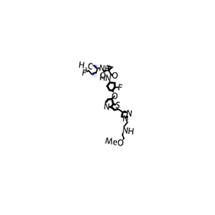 C/C=C(\C=C/CF)NC(=O)C1(C(=O)Nc2ccc(Oc3ccnc4cc(-c5cnn(CCNCCOC)c5)sc34)c(F)c2)CC1